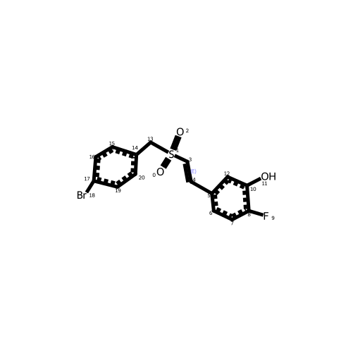 O=S(=O)(/C=C/c1ccc(F)c(O)c1)Cc1ccc(Br)cc1